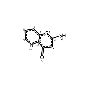 O=c1cc(S)sc2cccnc12